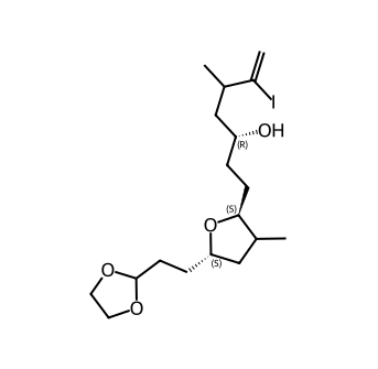 C=C(I)C(C)C[C@H](O)CC[C@@H]1O[C@@H](CCC2OCCO2)CC1C